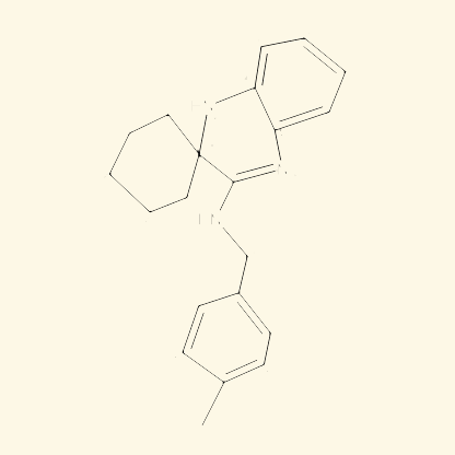 Cc1ccc(CNC2=Nc3ccccc3NC23CCCCC3)cc1